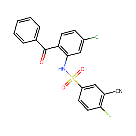 N#Cc1cc(S(=O)(=O)Nc2cc(Cl)ccc2C(=O)c2ccccc2)ccc1F